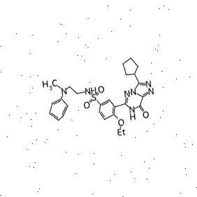 CCOc1ccc(S(=O)(=O)NCCN(C)c2ccccc2)cc1-c1nn2c(C3CCCC3)nnc2c(=O)[nH]1